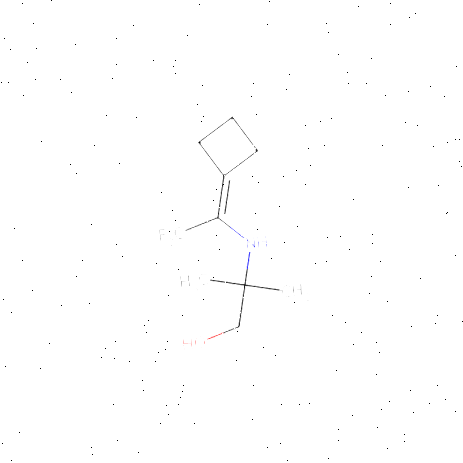 CC(C)(CO)NC(=C1CCC1)C(F)(F)F